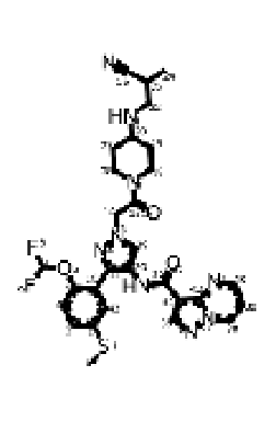 CSc1ccc(OC(F)F)c(-c2nn(CC(=O)N3CCC(NCC(C)C#N)CC3)cc2NC(=O)c2cnn3cccnc23)c1